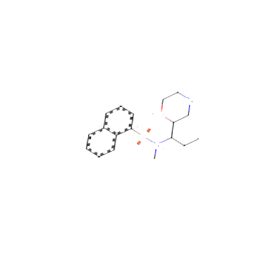 CCC(C1CNCCO1)N(C)S(=O)(=O)c1cccc2ccccc12